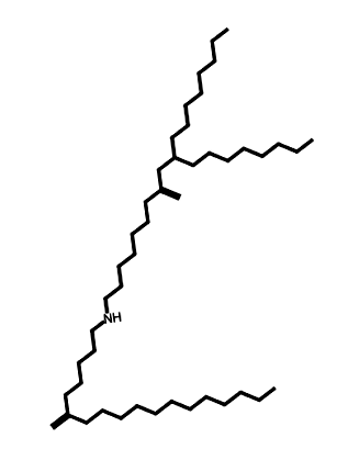 C=C(CCCCCCCCCCCC)CCCCCNCCCCCCCC(=C)CC(CCCCCCCC)CCCCCCCC